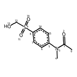 CC(=O)N(C)c1ccc(S(=O)(=O)CO)cc1